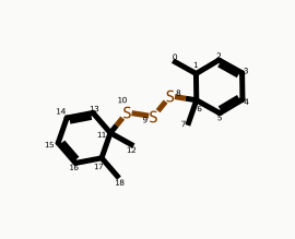 CC1C=CC=CC1(C)SSSC1(C)C=CC=CC1C